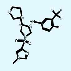 Cn1cnc(S(=O)(=O)N2C[C@@H]([C@@H]3CCCOC3)[C@H](Nc3ccc(F)c(C(F)(F)F)c3)C2)c1